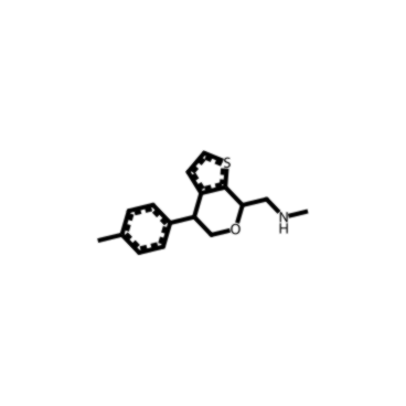 CNCC1OCC(c2ccc(C)cc2)c2ccsc21